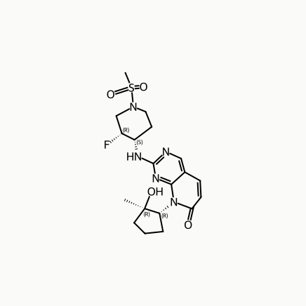 C[C@@]1(O)CCC[C@H]1n1c(=O)ccc2cnc(N[C@H]3CCN(S(C)(=O)=O)C[C@H]3F)nc21